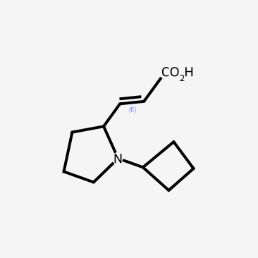 O=C(O)/C=C/C1CCCN1C1CCC1